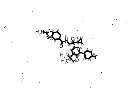 Nc1nc2ccc(C(=O)NCC(O)(c3cc4c(c(-c5ccc(F)cc5)n3)OC[C@@]4(N)C(F)(F)F)C3CC3)cc2s1